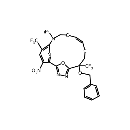 CC(C)N1CCC=CCCC(OCc2ccccc2)(C(F)(F)F)c2nnc(o2)-c2nc1c(C(F)(F)F)cc2[N+](=O)[O-]